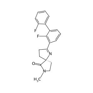 CN1CC[C@@]2(CCC(c3cccc(-c4ccccc4F)c3F)=N2)C1=O